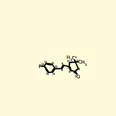 CC1(C)CC(=O)C=C(/C=C/c2ccc(F)cc2)C1